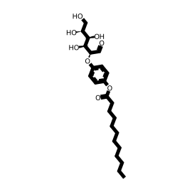 CCCCCCCCCCCC(=O)Oc1ccc(O[C@@H](C=O)[C@@H](O)[C@H](O)[C@H](O)CO)cc1